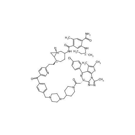 CC[C@@H](C)Nc1cc(C(=O)NC2CC[C@@H](CCc3ccc(C(=O)c4ccc(CN5CCN(CC6CCN(C(=O)C[C@@H]7N=C(c8ccc(Cl)cc8)c8c(sc(C)c8C)-n8c(C)nnc87)CC6)CC5)cc4)cn3)C3C[C@@H]3C2)c(C)cc1C(N)=O